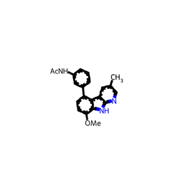 COc1ccc(-c2cccc(NC(C)=O)c2)c2c1[nH]c1ncc(C)cc12